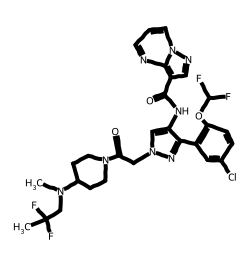 CN(CC(C)(F)F)C1CCN(C(=O)Cn2cc(NC(=O)c3cnn4cccnc34)c(-c3cc(Cl)ccc3OC(F)F)n2)CC1